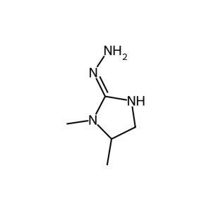 CC1CNC(=NN)N1C